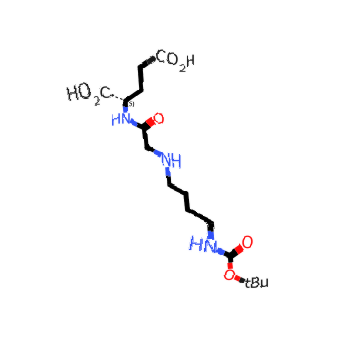 CC(C)(C)OC(=O)NCCCCNCC(=O)N[C@@H](CCC(=O)O)C(=O)O